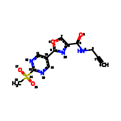 C#CCNC(=O)c1coc(-c2cnc(S(C)(=O)=O)nc2)n1